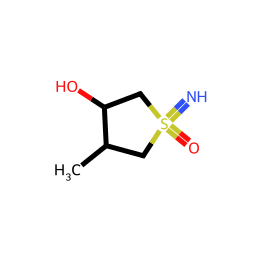 CC1CS(=N)(=O)CC1O